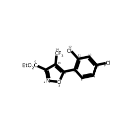 CCOC(=O)c1noc(-c2ccc(Cl)cc2Cl)c1C(F)(F)F